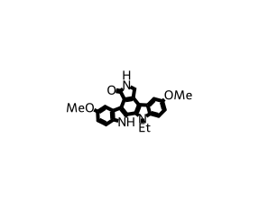 CCn1c2ccc(OC)cc2c2c3c(c4c5cc(OC)ccc5[nH]c4c21)C(=O)NC3